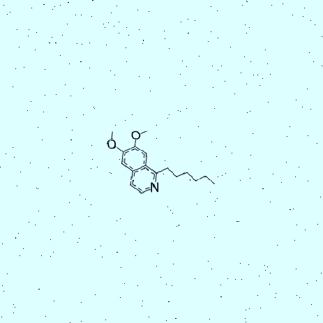 CCCCCCc1nccc2cc(OC)c(OC)cc12